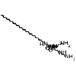 CCCCCCCCCCCCCCCCCCCCCCCCCCCCNCC(=O)NC(=O)[C@H](CCCNCCCN)NCCCN